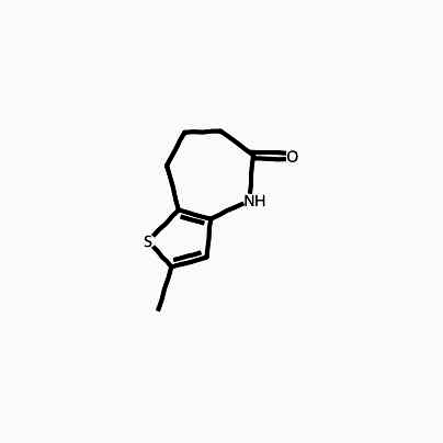 Cc1cc2c(s1)CCCC(=O)N2